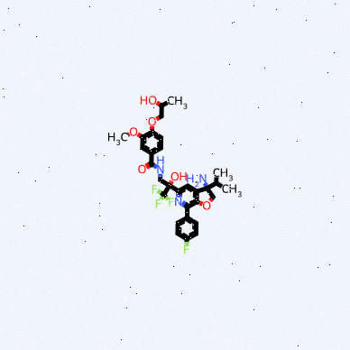 COc1cc(C(=O)NCC(O)(c2cc3c(c(-c4ccc(F)cc4)n2)OCC3(N)C(C)C)C(F)(F)F)ccc1OCC(C)O